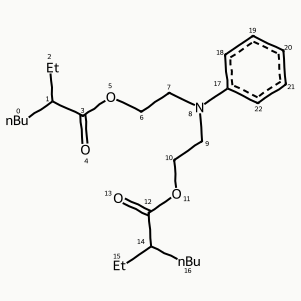 CCCCC(CC)C(=O)OCCN(CCOC(=O)C(CC)CCCC)c1ccccc1